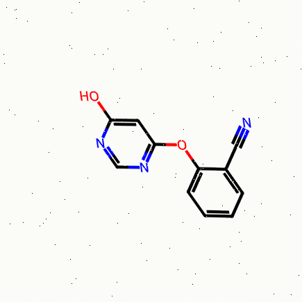 N#Cc1ccccc1Oc1cc(O)ncn1